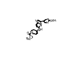 CSc1ncc(-c2cnc3ccc(NC4CCN(C(=O)OC(C)(C)C)CC4)nn23)cn1